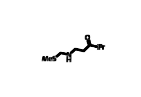 CSCNCCC(=O)C(C)C